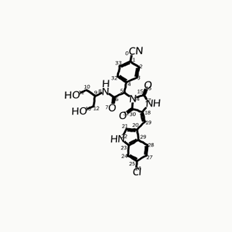 N#Cc1ccc(C(C(=O)NC(CO)CO)N2C(=O)NC(=Cc3c[nH]c4cc(Cl)ccc34)C2=O)cc1